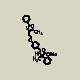 COC(=O)C(C)(NCc1ccc(OCCc2nc(-c3ccccc3)oc2C)cc1)c1ccccc1